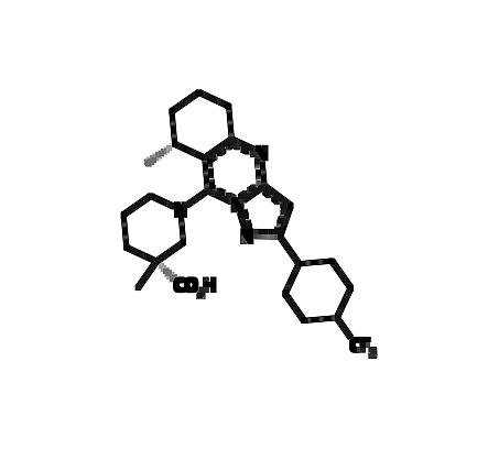 C[C@@H]1CCCc2nc3cc(C4CCC(C(F)(F)F)CC4)nn3c(N3CCC[C@@](C)(C(=O)O)C3)c21